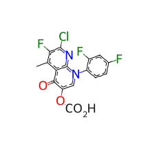 Cc1c(F)c(Cl)nc2c1c(=O)c(OC(=O)O)cn2-c1ccc(F)cc1F